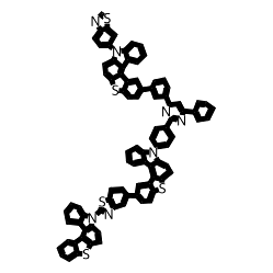 c1ccc(-c2cc(-c3cccc(-c4ccc5sc6ccc7c(c8ccccc8n7-c7ccc8ncsc8c7)c6c5c4)c3)nc(-c3ccc(-n4c5ccccc5c5c6c(ccc54)sc4ccc(-c5ccc7sc(-n8c9ccccc9c9c%10c(ccc98)sc8ccccc8%10)nc7c5)cc46)cc3)n2)cc1